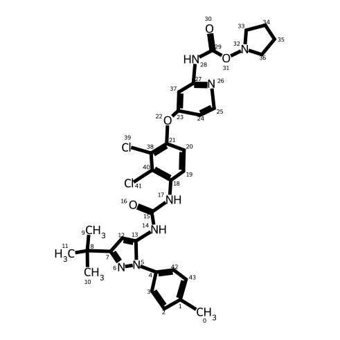 Cc1ccc(-n2nc(C(C)(C)C)cc2NC(=O)Nc2ccc(Oc3ccnc(NC(=O)ON4CCCC4)c3)c(Cl)c2Cl)cc1